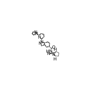 N#CN1[C@H]2CC[C@@H]1[C@H](NC(=O)c1ccc3c(cnn3-c3cccc(-n4cccn4)n3)c1)C2